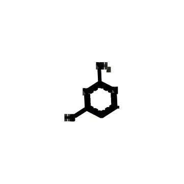 Nc1n[c]cc(S)n1